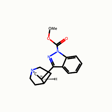 COOC(=O)n1nc([C@@H]2CN3CCC2CC3)c2ccccc21